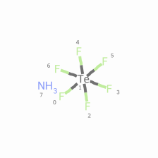 F[Te](F)(F)(F)(F)F.N